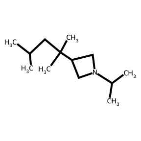 CC(C)CC(C)(C)C1CN(C(C)C)C1